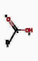 O=[C](O)[Er]